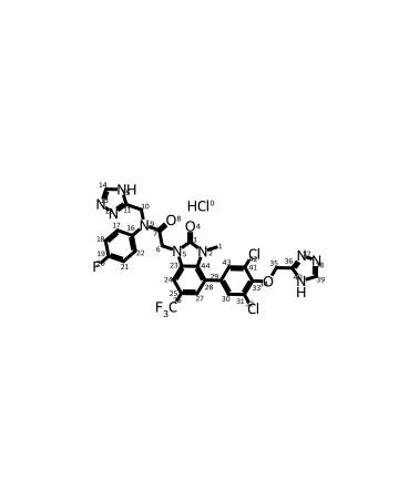 Cl.Cn1c(=O)n(CC(=O)N(Cc2nnc[nH]2)c2ccc(F)cc2)c2cc(C(F)(F)F)cc(-c3cc(Cl)c(OCc4nnc[nH]4)c(Cl)c3)c21